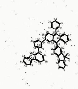 CC1(C)c2ccccc2-c2ccc(-c3c4ccccc4c(-c4ccccc4)c4ccc(-c5cccc(-c6cccc7c6sc6ccccc67)c5)cc34)cc21